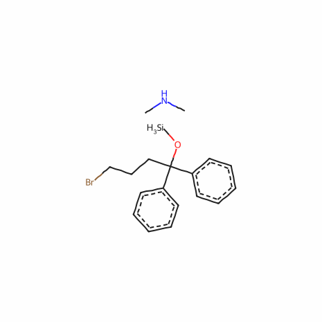 CNC.[SiH3]OC(CCCBr)(c1ccccc1)c1ccccc1